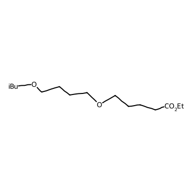 CCOC(=O)CCCCOCCCCOC(C)CC